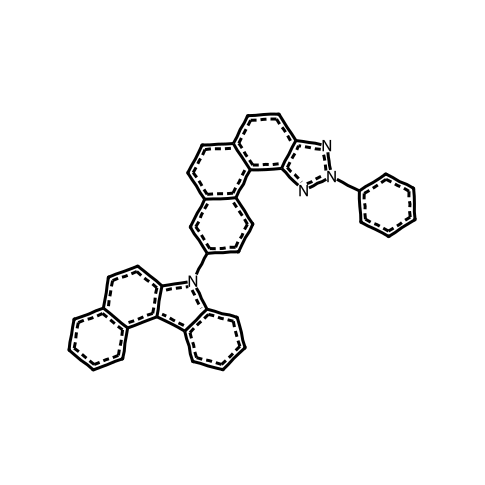 c1ccc(-n2nc3ccc4ccc5cc(-n6c7ccccc7c7c8ccccc8ccc76)ccc5c4c3n2)cc1